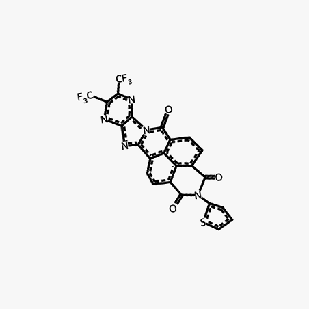 O=C1c2ccc3c(=O)n4c5nc(C(F)(F)F)c(C(F)(F)F)nc5nc4c4ccc(c2c34)C(=O)N1c1cccs1